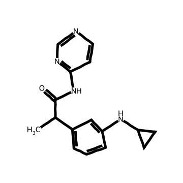 CC(C(=O)Nc1ccncn1)c1cccc(NC2CC2)c1